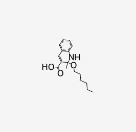 CCCCCCOC1(C)Nc2ccccc2C=C1C(=O)O